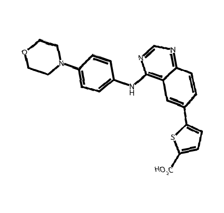 O=C(O)c1ccc(-c2ccc3ncnc(Nc4ccc(N5CCOCC5)cc4)c3c2)s1